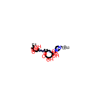 CCC(O)C(C)C1OC1CC(C)(O)/C=C/C=C(\C)C1OC(=O)CC(O)CCC(C)(O)C(OC(=O)N2CCCN(CC(C)(C)C)CC2)/C=C/C1C